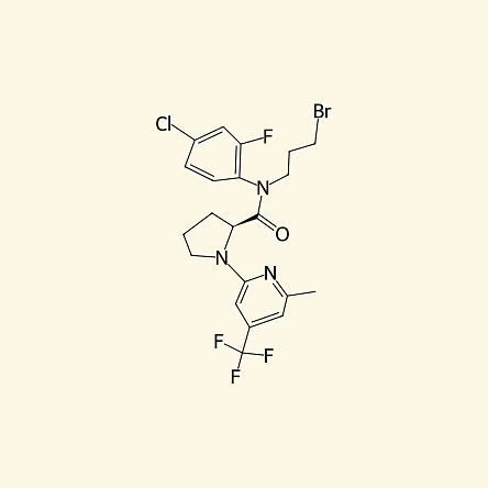 Cc1cc(C(F)(F)F)cc(N2CCC[C@H]2C(=O)N(CCCBr)c2ccc(Cl)cc2F)n1